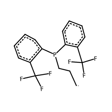 [CH2]CCP(c1ccccc1C(F)(F)F)c1ccccc1C(F)(F)F